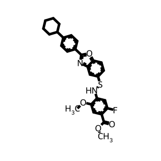 COC(=O)c1cc(OC)c(NSc2ccc3oc(-c4ccc(C5CCCCC5)cc4)nc3c2)cc1F